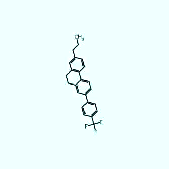 CCCc1ccc2c(c1)CCc1cc(-c3ccc(C(F)(F)F)cc3)ccc1-2